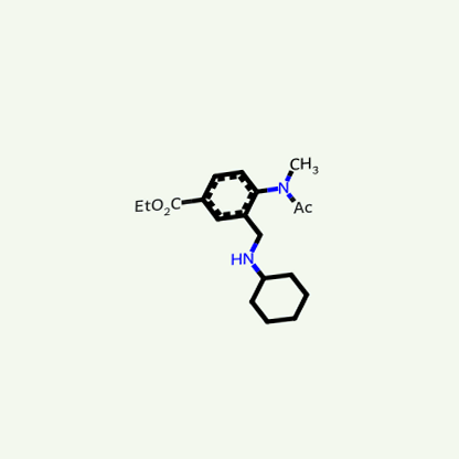 CCOC(=O)c1ccc(N(C)C(C)=O)c(CNC2CCCCC2)c1